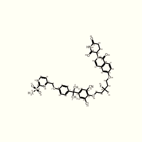 CC(C)(c1ccc(OCc2ccnc(S(C)(=O)=O)n2)cc1)c1cc(Cl)c(OCCC(F)(F)CCOc2ccc3c(=O)n(C4CCC(=O)NC4=O)ccc3c2)c(C#N)c1